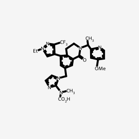 CCn1cc(-c2cc(Cn3ccnc3N(C)C(=O)O)cc3c2CCN(C(C)c2cc(OC)ccn2)C3=O)c(C(F)(F)F)n1